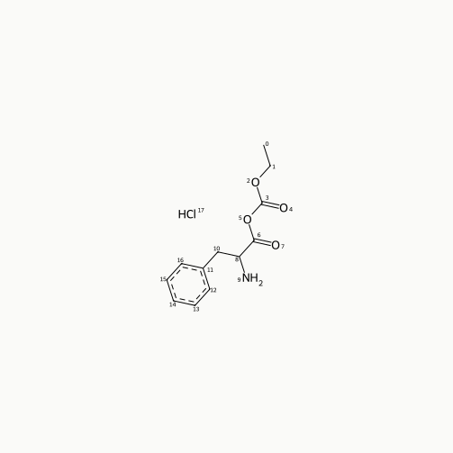 CCOC(=O)OC(=O)C(N)Cc1ccccc1.Cl